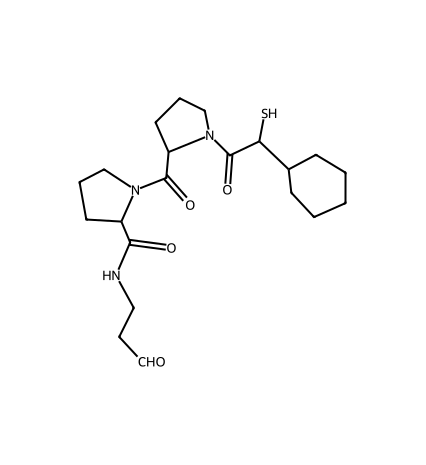 O=CCCNC(=O)C1CCCN1C(=O)C1CCCN1C(=O)C(S)C1CCCCC1